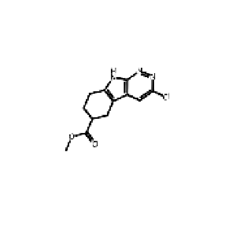 COC(=O)C1CCc2[nH]c3nnc(Cl)cc3c2C1